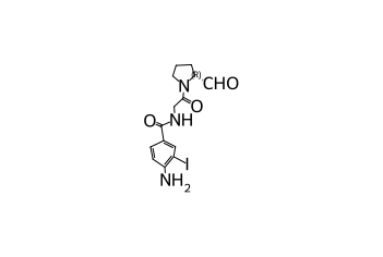 Nc1ccc(C(=O)NCC(=O)N2CCC[C@@H]2C=O)cc1I